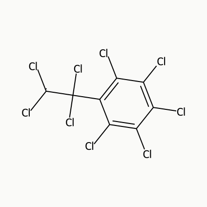 Cl[C](Cl)C(Cl)(Cl)c1c(Cl)c(Cl)c(Cl)c(Cl)c1Cl